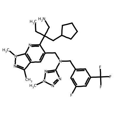 CCC(CN)(CC1CCCC1)c1nc2c(cc1CN(Cc1cc(F)cc(C(F)(F)F)c1)c1nnn(C)n1)c(C)nn2C